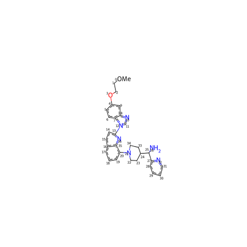 COCCOc1ccc2c(c1)ncn2-c1ccc2cccc(N3CCC(C(N)c4ccccn4)CC3)c2n1